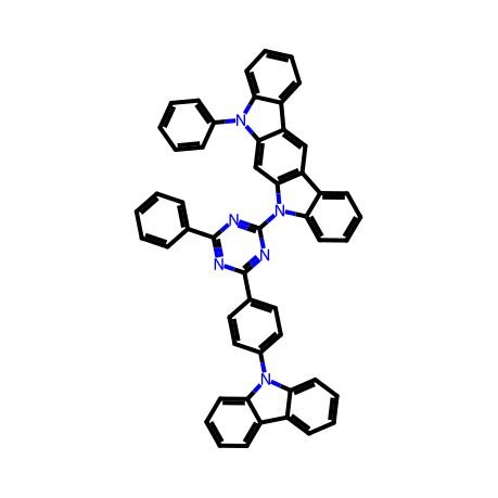 c1ccc(-c2nc(-c3ccc(-n4c5ccccc5c5ccccc54)cc3)nc(-n3c4ccccc4c4cc5c6ccccc6n(-c6ccccc6)c5cc43)n2)cc1